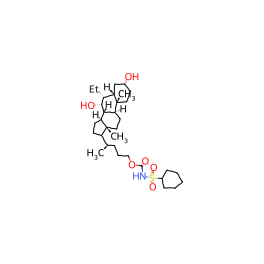 CC[C@H]1[C@@H](O)[C@@H]2[C@H](CC[C@]3(C)C([C@H](C)CCCOC(=O)NS(=O)(=O)C4CCCCC4)CC[C@@H]23)[C@@]2(C)CC[C@@H](O)C[C@@H]12